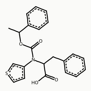 CC(OC(=O)N(c1ccsc1)C(Cc1ccccc1)C(=O)O)c1ccccc1